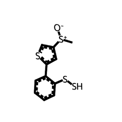 C[S+]([O-])c1csc(-c2ccccc2SS)c1